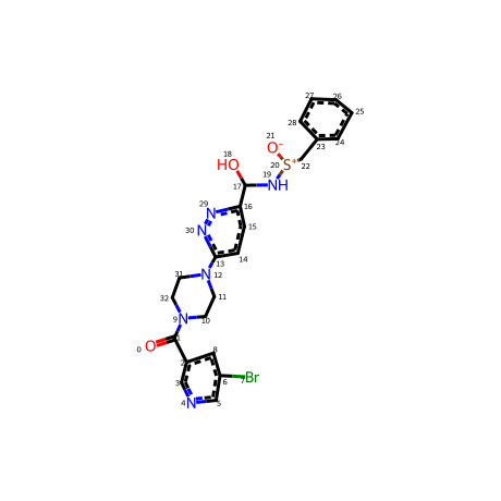 O=C(c1cncc(Br)c1)N1CCN(c2ccc(C(O)N[S+]([O-])Cc3ccccc3)nn2)CC1